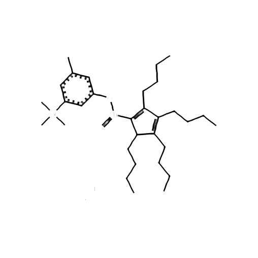 Cl.Cl.[CH2]=[Ti]([O]c1cc(C)cc([Si](C)(C)C)c1)[C]1=C(CCCC)C(CCCC)=C(CCCC)C1CCCC